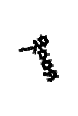 CCCCCNC(=O)C(c1ccccc1)N1CCN(c2ccc(-n3ncn(C(C)C)c3=O)cc2)CC1